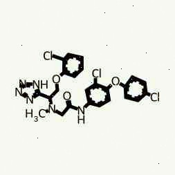 CN(CC(=O)Nc1ccc(Oc2ccc(Cl)cc2)c(Cl)c1)C(COc1ccccc1Cl)c1nnn[nH]1